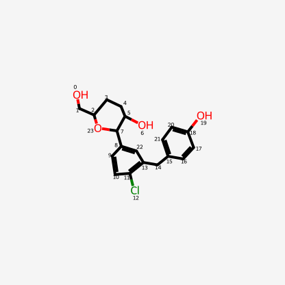 OCC1CCC(O)C(c2ccc(Cl)c(Cc3ccc(O)cc3)c2)O1